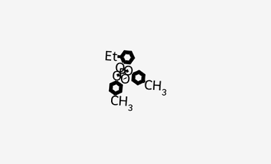 CCc1ccccc1OP(=O)(Oc1ccc(C)cc1)Oc1ccc(C)cc1